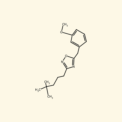 COc1cccc(Cc2nc(CCCC(C)(C)C)no2)c1